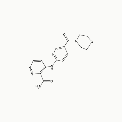 NC(=O)c1nnccc1Nc1ccc(C(=O)N2CCOCC2)cn1